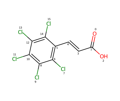 O=C(O)C=Cc1c(Cl)c(Cl)c(Cl)c(Cl)c1Cl